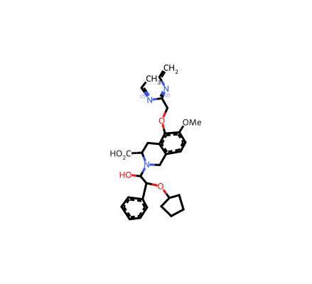 C=C/N=C(COc1c(OC)ccc2c1CC(C(=O)O)N(C(O)C(OC1CCCC1)c1ccccc1)C2)\N=C/C